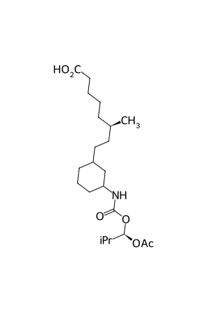 CC(=O)O[C@H](OC(=O)NC1CCCC(CC[C@H](C)CCCCC(=O)O)C1)C(C)C